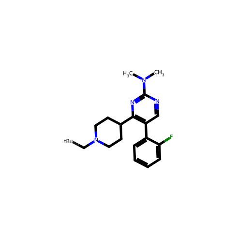 CN(C)c1ncc(-c2ccccc2F)c(C2CCN(CC(C)(C)C)CC2)n1